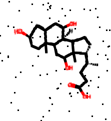 C[C@H](CCC(=O)O)[C@H]1CCC2[C@@H]3C(O)CC4C[C@H](O)CCC4(C)C3CC(O)C21C